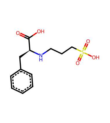 O=C(O)[C@H](Cc1ccccc1)NCCCS(=O)(=O)O